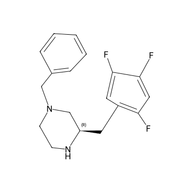 Fc1cc(F)c(C[C@@H]2CN(Cc3ccccc3)CCN2)cc1F